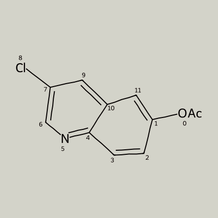 CC(=O)Oc1ccc2ncc(Cl)cc2c1